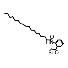 CCCCCCCCCCCCCCCCCC(=O)Nc1ccccc1C(=O)CBr